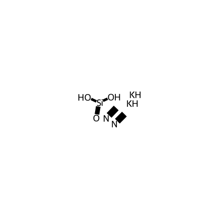 C#N.C#N.O=[Si](O)O.[KH].[KH]